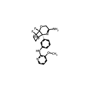 COc1cccnc1Nc1cccc([C@@]2(C3CC3)N=C(N)CO[C@@]2(F)C(F)(F)F)c1